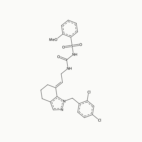 COc1ccccc1S(=O)(=O)NC(=O)NC/C=C1\CCCc2cnn(Cc3ccc(Cl)cc3Cl)c21